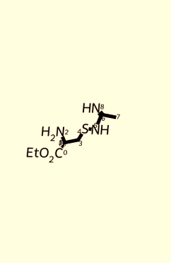 CCOC(=O)[C@@H](N)CSNC(C)=N